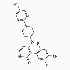 CCCc1cnc(N2CCC(Oc3cc[nH]c(=O)c3-c3cc(F)c(C#N)cc3F)CC2)nc1